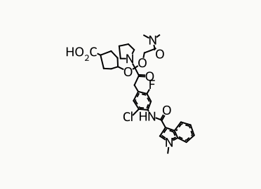 CN(C)C(=O)COC(OC1CCC(C(=O)O)CC1)(C(=O)Cc1cc(Cl)c(NC(=O)c2cn(C)c3ccccc23)cc1F)N1CCCC1